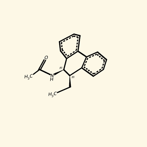 CC[C@@H]1c2ccccc2-c2ccccc2[C@@H]1NC(C)=O